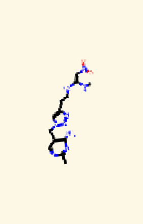 CNC(=C[N+](=O)[O-])NCCc1cn(Cc2cnc(C)nc2N)nn1